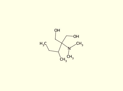 CCC(C)C(CO)(CO)N(C)C